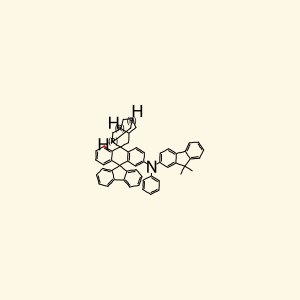 CC1(C)c2ccccc2-c2ccc(N(c3ccccc3)c3ccc4c(c3)C3(c5ccccc5-c5ccccc53)c3ccccc3C43CC4C[C@H]5C[C@@H]4C[C@H]3C5)cc21